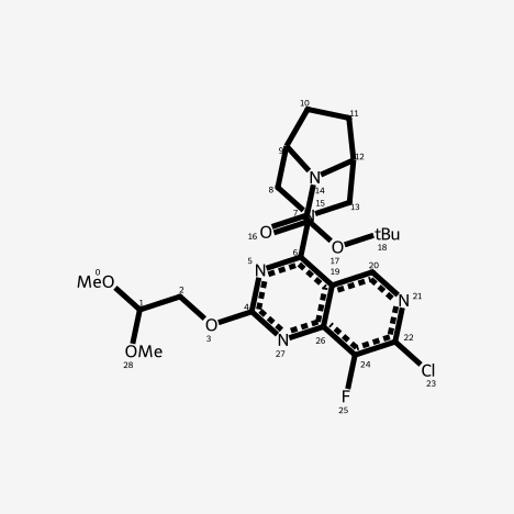 COC(COc1nc(N2CC3CCC(C2)N3C(=O)OC(C)(C)C)c2cnc(Cl)c(F)c2n1)OC